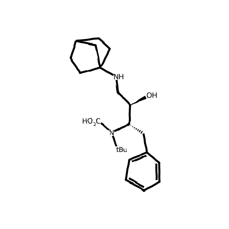 CC(C)(C)N(C(=O)O)[C@@H](Cc1ccccc1)[C@H](O)CNC12CCC(CC1)C2